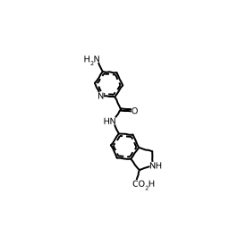 Nc1ccc(C(=O)Nc2ccc3c(c2)CNC3C(=O)O)nc1